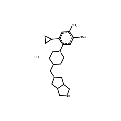 COc1cc(N2CCC(CN3CC4CNCC4C3)CC2)c(C2CC2)cc1[N+](=O)[O-].Cl